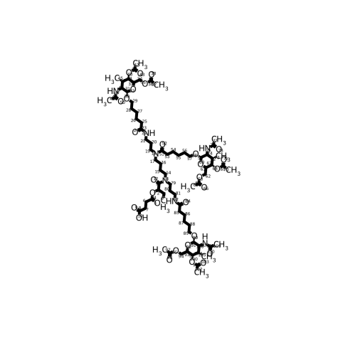 CCC(OC(=O)CCC(=O)O)C(=O)N(CCCCN(CCCNC(=O)CCCCCO[C@@H]1OC(COC(C)=O)[C@H](OC(C)=O)[C@H](C)C1NC(C)=O)C(=O)CCCCCO[C@@H]1OC(COC(C)=O)[C@H](OC(C)=O)[C@H](C)C1NC(C)=O)CCCNC(=O)CCCCCO[C@@H]1OC(COC(C)=O)[C@H](OC(C)=O)[C@H](C)C1NC(C)=O